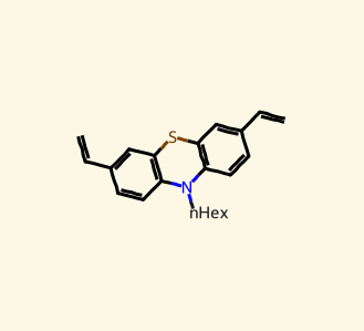 C=Cc1ccc2c(c1)Sc1cc(C=C)ccc1N2CCCCCC